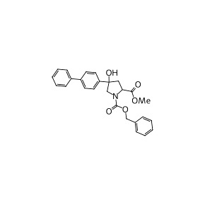 COC(=O)C1CC(O)(c2ccc(-c3ccccc3)cc2)CN1C(=O)OCc1ccccc1